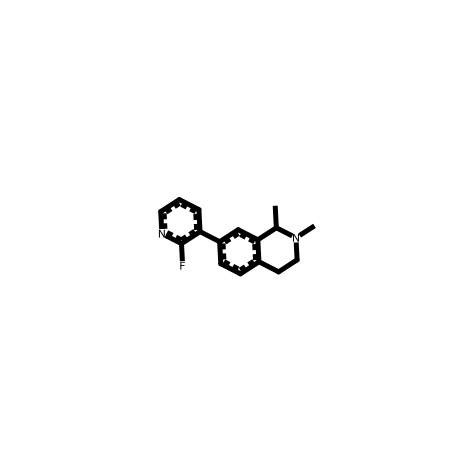 CC1c2cc(-c3cccnc3F)ccc2CCN1C